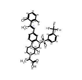 C/C(=C\c1ccc2c(c1)N(S(=O)(=O)c1cccc(C(F)(F)F)c1)C[C@@H]1CN(C(C)C(=O)O)CCN21)c1c(F)cccc1Cl